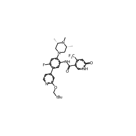 C[C@@H]1CN(c2cc(F)c(-c3ccnc(OCC(C)(C)C)c3)cc2NC(=O)c2c[nH]c(=O)cc2C(F)(F)F)C[C@H](C)N1C